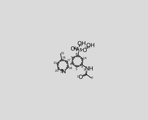 CC(=O)Nc1cccc([As](=O)(O)OO)c1.Cc1ccncc1